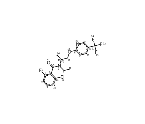 CCN(C(=O)c1c(F)ccnc1Cl)[C@@H](C)COc1ccc(C(F)(F)F)cn1